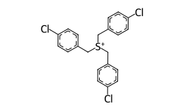 Clc1ccc(C[S+](Cc2ccc(Cl)cc2)Cc2ccc(Cl)cc2)cc1